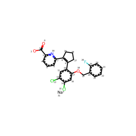 O=C([O-])c1cccc(C2=C(c3cc(Cl)c(Cl)cc3OCc3ccccc3F)CCC2)n1.[Na+]